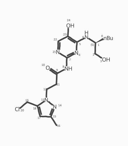 CCCC[C@@H](CO)Nc1nc(NC(=O)CCn2nc(C)cc2CCl)ncc1O